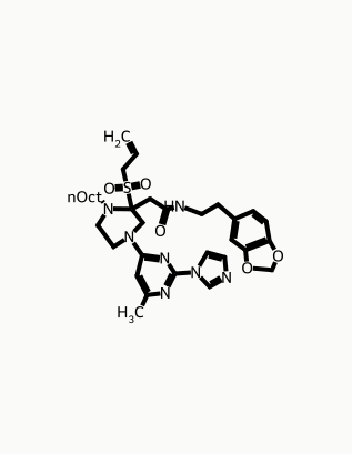 C=CCS(=O)(=O)C1(CC(=O)NCCc2ccc3c(c2)OCO3)CN(c2cc(C)nc(-n3ccnc3)n2)CCN1CCCCCCCC